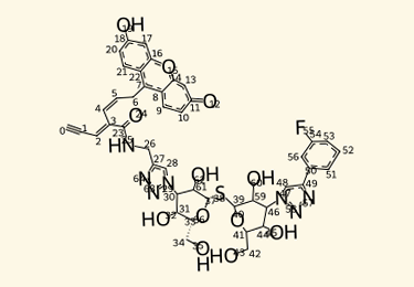 C#C/C=C(\C=C/Cc1c2ccc(=O)cc-2oc2cc(O)ccc12)C(=O)NCc1cn(C2C(O)[C@@H](CO)O[C@@H](SC3OC(CO)C(O)C(n4cc(-c5cccc(F)c5)nn4)C3O)C2O)nn1